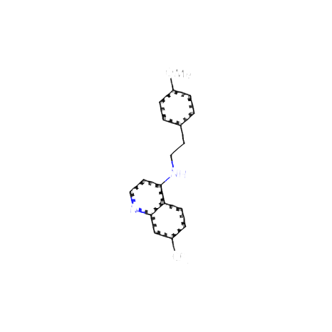 COc1ccc(CCNc2ccnc3cc(C(F)(F)F)ccc23)cc1